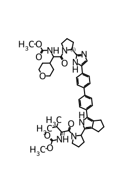 COC(=O)NC(C(=O)N1CCC[C@H]1c1ncc(-c2ccc(-c3ccc(-c4[nH]c(C5CCCN5C(=O)[C@@H](NC(=O)OC)C(C)C)c5c4CCC5)cc3)cc2)[nH]1)C1CCOCC1